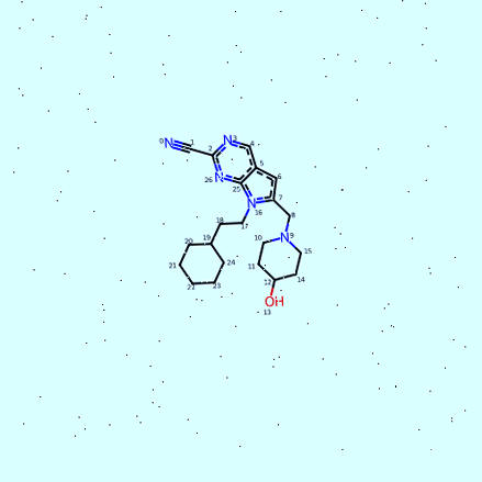 N#Cc1ncc2cc(CN3CCC(O)CC3)n(CCC3CCCCC3)c2n1